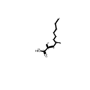 CCCCCCC(C)/C=C(\C)C(=O)O